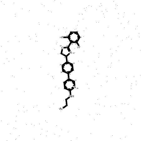 CC(=O)CCNc1ccc(-c2ccc(C3COC(c4c(F)cccc4F)=N3)cc2)cn1